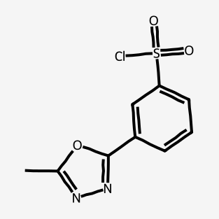 Cc1nnc(-c2cccc(S(=O)(=O)Cl)c2)o1